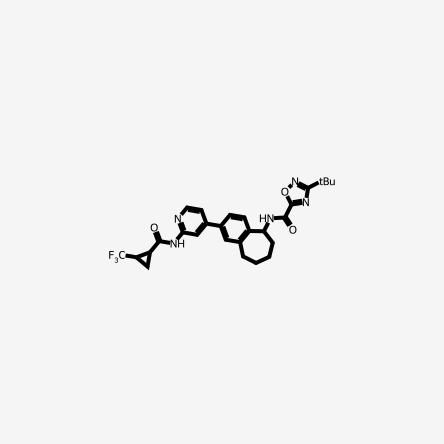 CC(C)(C)c1noc(C(=O)NC2CCCCc3cc(-c4ccnc(NC(=O)C5CC5C(F)(F)F)c4)ccc32)n1